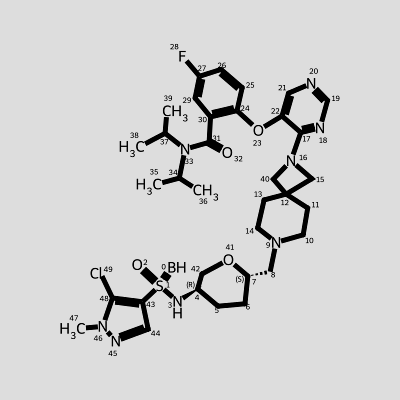 B=S(=O)(N[C@@H]1CC[C@@H](CN2CCC3(CC2)CN(c2ncncc2Oc2ccc(F)cc2C(=O)N(C(C)C)C(C)C)C3)OC1)c1cnn(C)c1Cl